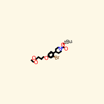 CC(C)(C)OC(=O)N1CCC(c2ccc(OCCCC3OCCO3)cc2Br)CC1